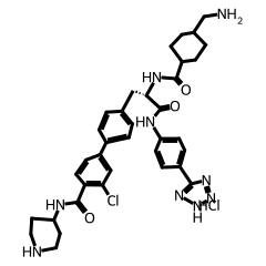 Cl.NCC1CCC(C(=O)N[C@@H](Cc2ccc(-c3ccc(C(=O)NC4CCNCC4)c(Cl)c3)cc2)C(=O)Nc2ccc(-c3nn[nH]n3)cc2)CC1